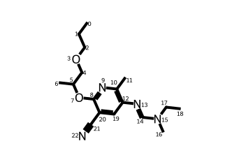 CCCOCC(C)Oc1nc(C)c(N=CN(C)CC)cc1C#N